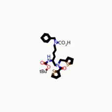 CC(C)(C)OC(=O)NC(CCCCN(Cc1ccccc1)C(=O)O)CN(Cc1cccs1)C(=O)c1cccs1